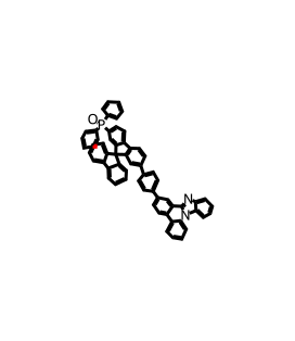 O=P(c1ccccc1)(c1ccccc1)c1ccc2c(c1)C1(c3ccccc3-c3ccccc31)c1cc(-c3ccc(-c4ccc5c6ccccc6n6c7ccccc7nc6c5c4)cc3)ccc1-2